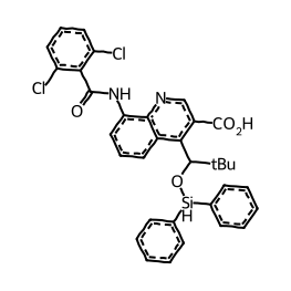 CC(C)(C)C(O[SiH](c1ccccc1)c1ccccc1)c1c(C(=O)O)cnc2c(NC(=O)c3c(Cl)cccc3Cl)cccc12